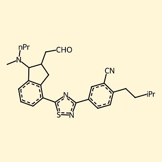 CCCN(C)C1c2cccc(-c3nc(-c4ccc(CCC(C)C)c(C#N)c4)ns3)c2CC1CC=O